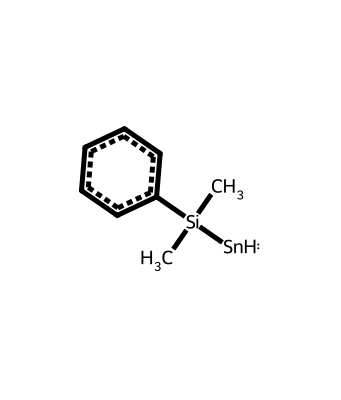 C[Si](C)([SnH])c1ccccc1